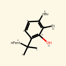 CCCCCC(C)(C)c1ccc(CCCC)c(CC)c1O